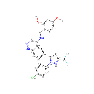 COc1ccc(CNc2cnnc3cc(-c4cc(Cl)ccc4-n4ccc(C(F)F)n4)ccc23)c(OC)c1